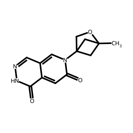 CC12CC(n3cc4cn[nH]c(=O)c4cc3=O)(CO1)C2